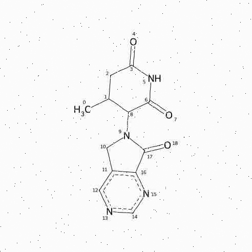 CC1CC(=O)NC(=O)C1N1Cc2cncnc2C1=O